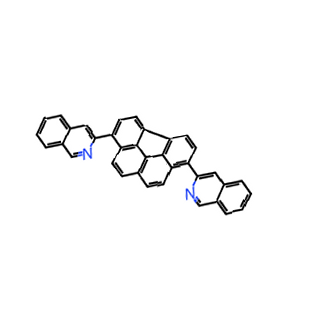 c1ccc2cc(-c3ccc4c5c3ccc3ccc6c(-c7cc8ccccc8cn7)ccc-4c6c35)ncc2c1